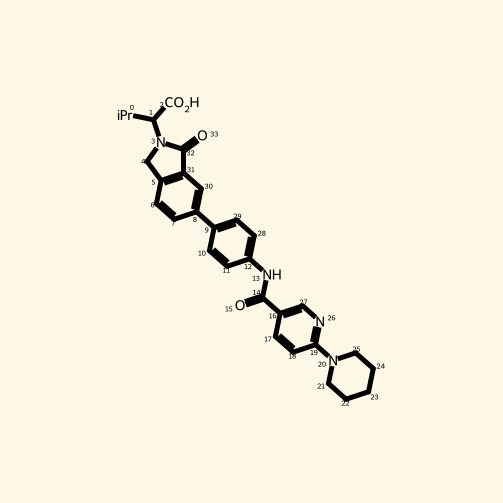 CC(C)C(C(=O)O)N1Cc2ccc(-c3ccc(NC(=O)c4ccc(N5CCCCC5)nc4)cc3)cc2C1=O